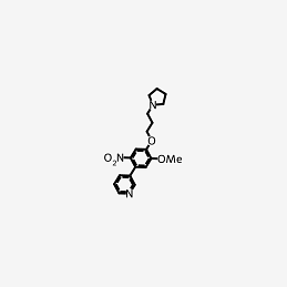 COc1cc(-c2cccnc2)c([N+](=O)[O-])cc1OCCCN1CCCC1